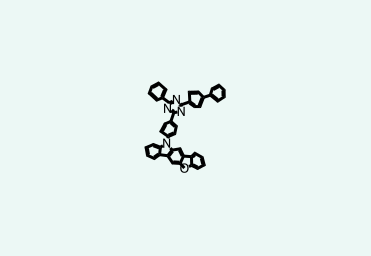 c1ccc(-c2ccc(-c3nc(-c4ccccc4)nc(-c4ccc(-n5c6ccccc6c6cc7oc8ccccc8c7cc65)cc4)n3)cc2)cc1